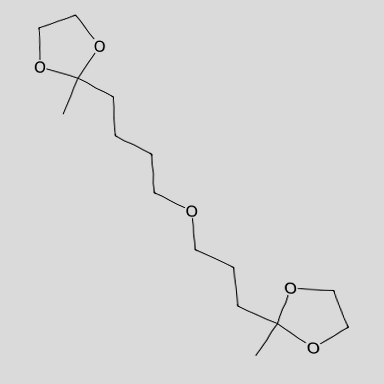 CC1(CCCCOCCCC2(C)OCCO2)OCCO1